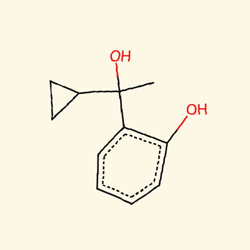 CC(O)(c1ccccc1O)C1CC1